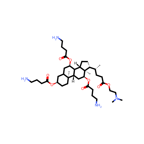 C[C@H](CCC(=O)OCCN(C)C)[C@H]1CC[C@H]2C3[C@H](OC(=O)CCCN)CC4C[C@H](OC(=O)CCCN)CC[C@]4(C)[C@H]3C[C@H](OC(=O)CCCN)[C@]12C